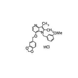 COc1cccc(Cn2c(C)c(C)c3nccc(OCc4ccc5c(c4)OCO5)c32)c1.Cl